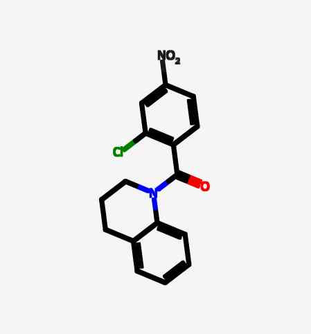 O=C(c1ccc([N+](=O)[O-])cc1Cl)N1CCCc2ccccc21